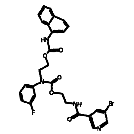 O=C(Nc1cccc2ccccc12)OCCN(C(=O)OCCNC(=O)c1cncc(Br)c1)c1cccc(F)c1